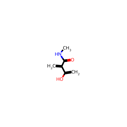 C=C(O)C(=C)C(=O)NC